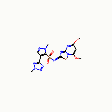 COc1cc(OC)n2sc(=NS(=O)(=O)c3c(-c4nnn(C)n4)cnn3C)nc2n1